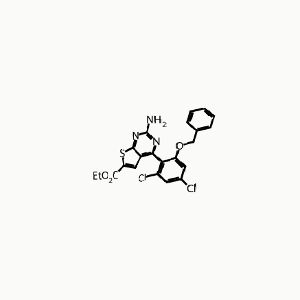 CCOC(=O)c1cc2c(-c3c(Cl)cc(Cl)cc3OCc3ccccc3)nc(N)nc2s1